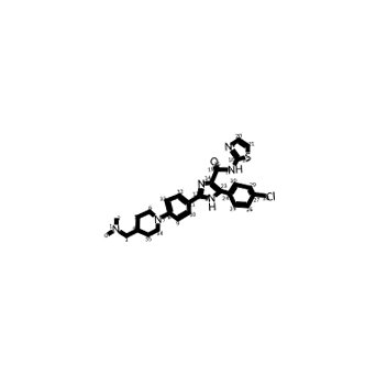 CN(C)CC1CCN(c2ccc(-c3nc(C(=O)Nc4nccs4)c(-c4ccc(Cl)cc4)[nH]3)cc2)CC1